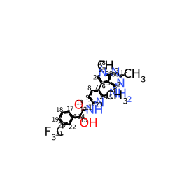 Cc1nc(N)c2c(-c3ccc(NC(=O)C(O)c4cccc(C(F)(F)F)c4)nc3C)cn(C)c2n1